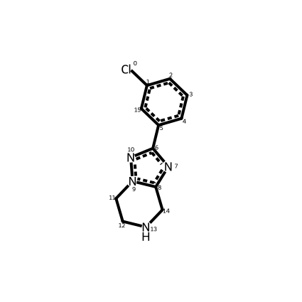 Clc1cccc(-c2nc3n(n2)CCNC3)c1